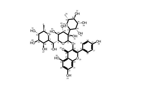 C[C@H]1OC(C(O)[C@H]2OC(Oc3c(-c4ccc(O)cc4)oc4cc(O)cc(O)c4c3=O)[C@@](O)(C3O[C@H](C)[C@@H](O)[C@H](O)[C@@H]3O)[C@@H](O)[C@@H]2O)[C@@H](O)[C@@H](O)[C@@H]1O